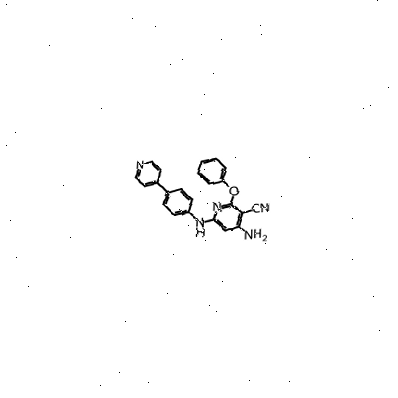 N#Cc1c(N)cc(Nc2ccc(-c3ccncc3)cc2)nc1Oc1ccccc1